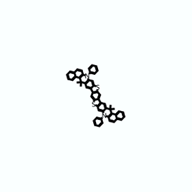 CC1(C)c2cc3c(cc2N(c2ccccc2)c2ccc4ccccc4c21)sc1cc2c(cc13)sc1cc3c(cc12)C(C)(C)c1c(ccc2ccccc12)N3c1ccccc1